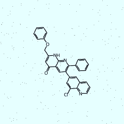 O=c1cc(COc2ccccc2)[nH]c2nc(-c3ccccc3)c(-c3cc(Cl)c4ncccc4c3)cc12